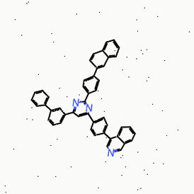 c1ccc(-c2cccc(-c3cc(-c4ccc(-c5cncc6ccccc56)cc4)nc(-c4ccc(-c5ccc6ccccc6c5)cc4)n3)c2)cc1